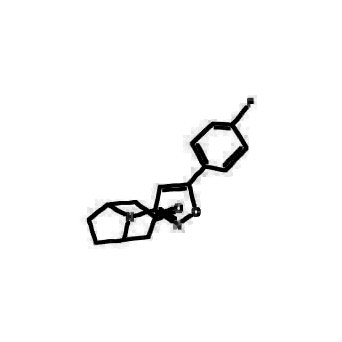 O=C1CC2CCC(C1)N2c1cc(-c2ccc(F)cc2)on1